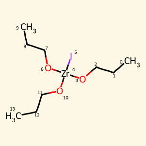 CCC[O][Zr]([I])([O]CCC)[O]CCC